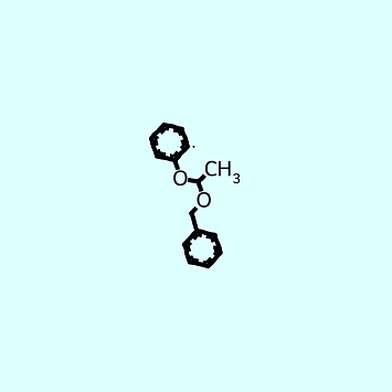 CC(OCc1ccccc1)Oc1[c]cccc1